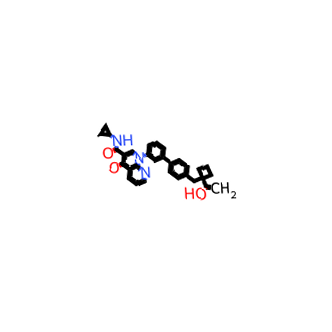 C=C(O)C1(Cc2ccc(-c3cccc(-n4cc(C(=O)NC5CC5)c(=O)c5cccnc54)c3)cc2)CCC1